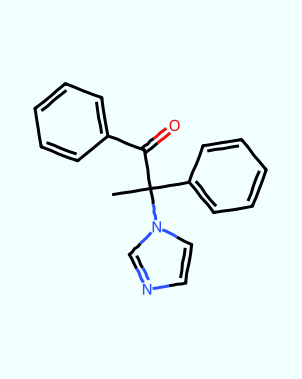 CC(C(=O)c1ccccc1)(c1ccccc1)n1ccnc1